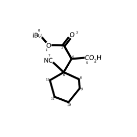 CCC(C)OC(=O)C(C(=O)O)C1(C#N)CCCCC1